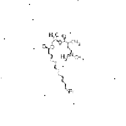 CC(C)CCCCCCCCCCCC(=O)OCC(C)OC(=O)C(C)CCN(C)C